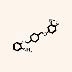 Cc1ccc(OCC2CCC(COc3ccccc3N)CC2)cc1N